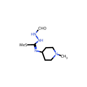 CSC(=NC1CCN(C)CC1)NNC=O